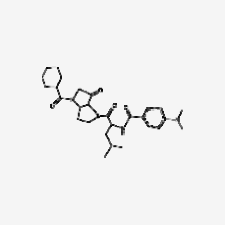 CC(C)CC(NC(=O)c1ccc(N(C)C)cc1)C(=O)N1CCC2C1C(=O)CN2C(=O)C1CCCCC1